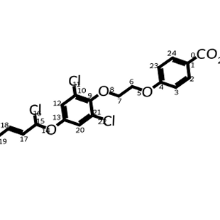 O=C(O)c1ccc(OCCOc2c(Cl)cc(OC(Cl)C=CCl)cc2Cl)cc1